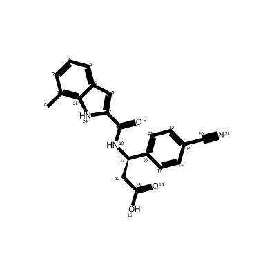 Cc1cccc2cc(C(=O)N[C@H](CC(=O)O)c3ccc(C#N)cc3)[nH]c12